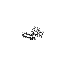 c1ccc2c(c1)Sc1cccc3c1B2c1ccc2oc4cc5ccccc5cc4c2c1S3